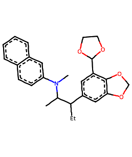 CCC(c1cc2c(c(C3OCCO3)c1)OCO2)C(C)N(C)c1ccc2ccccc2c1